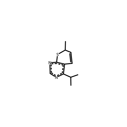 CC1C=Cc2c(ncnc2C(C)C)S1